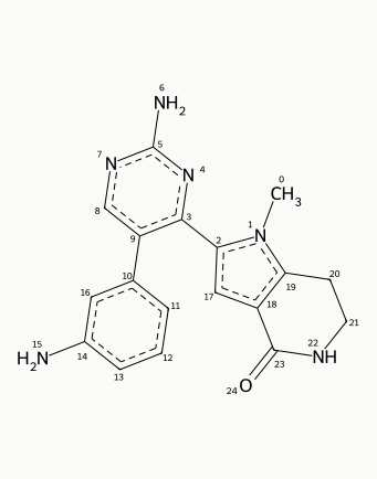 Cn1c(-c2nc(N)ncc2-c2cccc(N)c2)cc2c1CCNC2=O